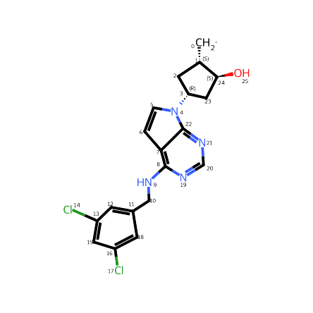 [CH2][C@H]1C[C@@H](n2ccc3c(NCc4cc(Cl)cc(Cl)c4)ncnc32)C[C@@H]1O